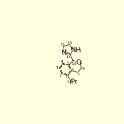 CC(C)c1cccc2c1CCOC2C1=NCCN1